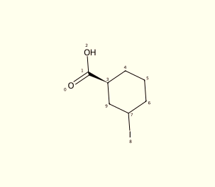 O=C(O)[C@H]1CCCC(I)C1